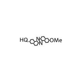 COc1ccc2c(ccc3nc4c(ccc5cc(CO)ccc54)nc32)c1